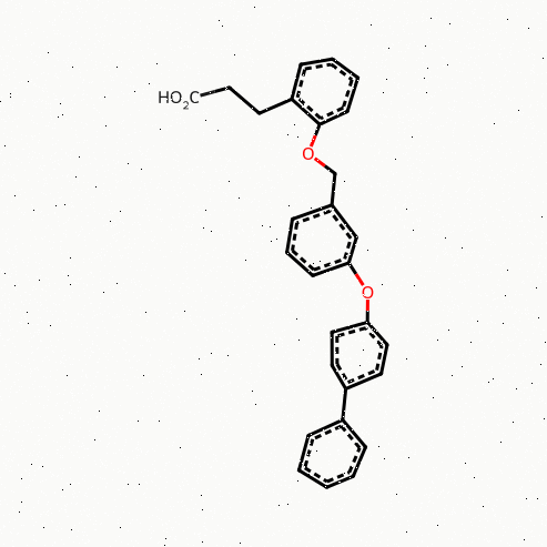 O=C(O)CCc1ccccc1OCc1cccc(Oc2ccc(-c3ccccc3)cc2)c1